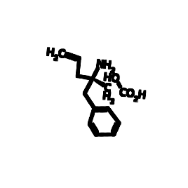 C=CC[C@](C)(N)Cc1ccccc1.O=C(O)O